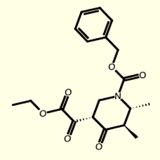 CCOC(=O)C(=O)[C@@H]1CN(C(=O)OCc2ccccc2)[C@H](C)[C@@H](C)C1=O